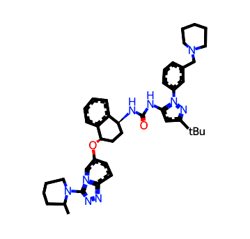 CC1CCCCN1c1nnc2ccc(O[C@@H]3CC[C@H](NC(=O)Nc4cc(C(C)(C)C)nn4-c4cccc(CN5CCCCC5)c4)c4ccccc43)cn12